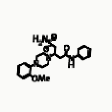 COc1ccccc1N1CCN(C(CC(=O)Nc2ccccc2)CS(N)(=O)=O)CC1